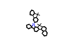 CC1(C)c2ccccc2-c2cc(-n3c4ccccc4c4ccc5c(c43)C(C)(C)c3ccc4ccccc4c3-5)ccc21